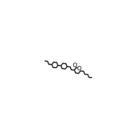 CCCCCC1CCC(CCC2CCC(C3CCC(CCC)CC3)CC2)C(=O)O1